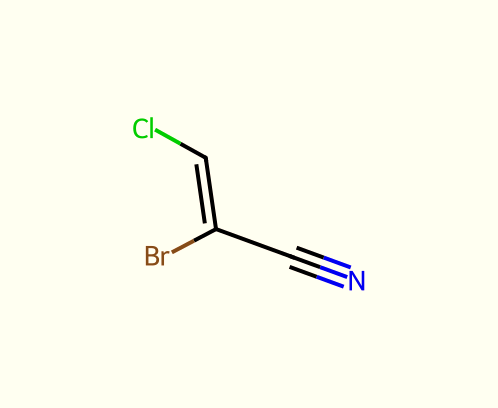 N#CC(Br)=CCl